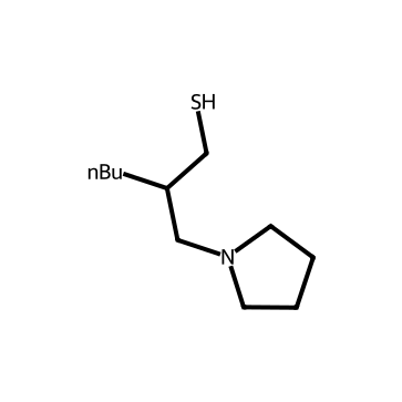 CCCCC(CS)CN1CCCC1